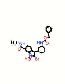 CNC(=O)c1ccc2c(C3CCCC(NC(=O)OCc4ccccc4)C3)c(Br)n(O)c2c1